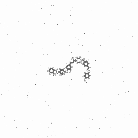 O=C(C=Cc1ccc(Oc2ccc(OCc3ccccc3Cl)cn2)c(F)c1)N1CCN(Cc2ccc(CCOc3ccc(F)cc3)cc2)CC1